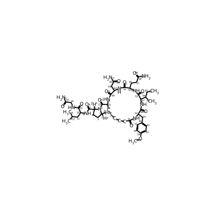 [2H]C1([2H])CCC([2H])(C(=O)NC(CC(C)C)C(=O)NCC(N)=O)N1C(=O)C1CSCCCC(=O)NC(Cc2ccc(OC)cc2)C(=O)NC(C(C)CC)C(=O)NC(CCC(N)=O)C(=O)NC(CC(N)=O)C(=O)N1